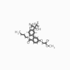 CCCCn1c(=O)c2ccc(OCC(=O)OC)cc2c2cc(C(O)(C(F)(F)F)C(F)(F)F)ccc21